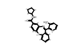 Cc1cccnc1C1=Nc2cc(C(=O)NC3CCCC3)ccc2Sc2ccccc21